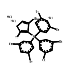 CCc1cc(CC)cc([Si](C2=[C]([Ti])CC=C2C(C)(C)C)(c2cc(CC)cc(CC)c2)c2cc(CC)cc(CC)c2)c1.Cl.Cl.Cl